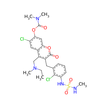 CCN(C)Cc1c(Cc2cccc(NS(=O)(=O)NC)c2Cl)c(=O)oc2cc(OC(=O)N(C)C)c(Cl)cc12